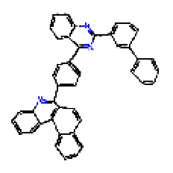 c1ccc(-c2cccc(-c3nc(-c4ccc(-c5nc6ccccc6c6c5ccc5ccccc56)cc4)c4ccccc4n3)c2)cc1